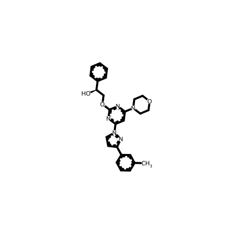 Cc1cccc(-c2ccn(-c3cc(N4CCOCC4)nc(OC[C@@H](O)c4ccccc4)n3)n2)c1